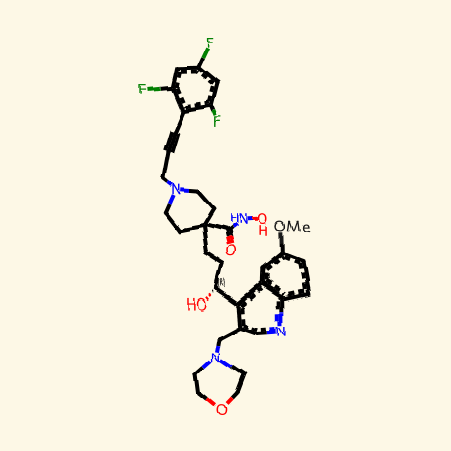 COc1ccc2ncc(CN3CCOCC3)c([C@H](O)CCC3(C(=O)NO)CCN(CC#Cc4c(F)cc(F)cc4F)CC3)c2c1